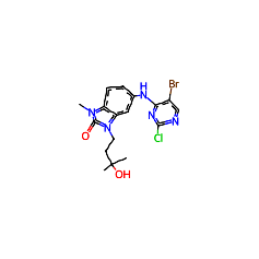 Cn1c(=O)n(CCC(C)(C)O)c2cc(Nc3nc(Cl)ncc3Br)ccc21